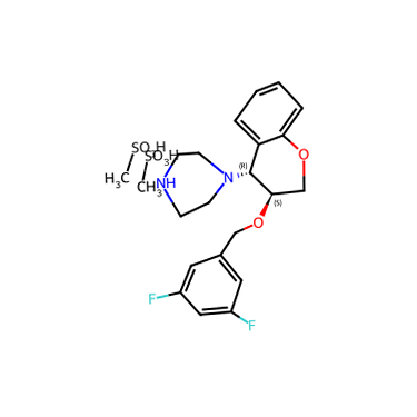 CS(=O)(=O)O.CS(=O)(=O)O.Fc1cc(F)cc(CO[C@@H]2COc3ccccc3[C@H]2N2CCNCC2)c1